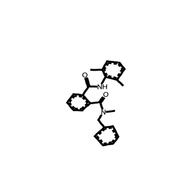 Cc1cccc(C)c1NC(=O)c1ccccc1C(=O)N(C)Cc1ccccc1